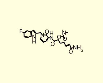 CN(C)C(=O)OC(CCC=CC(N)=O)C(=O)Nc1cccn(Cc2cc3cc(F)ccc3[nH]2)c1=O